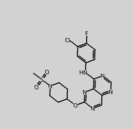 CS(=O)(=O)N1CCC(Oc2ncc3ncnc(Nc4ccc(F)c(Cl)c4)c3n2)CC1